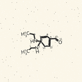 CCNC1(NCC)C=CC(C=O)=CC1